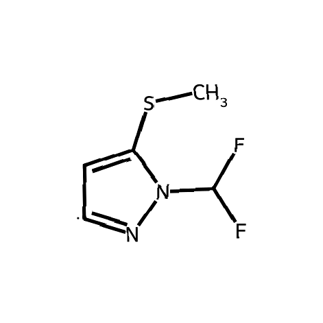 CSc1c[c]nn1C(F)F